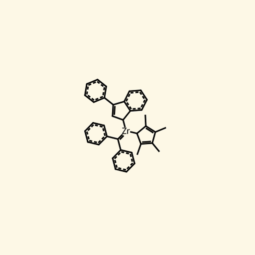 CC1=C(C)[CH]([Zr](=[C](c2ccccc2)c2ccccc2)[CH]2C=C(c3ccccc3)c3ccccc32)C(C)=C1C